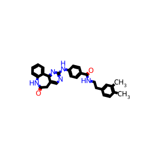 Cc1ccc(CCNC(=O)c2ccc(Nc3ncc4c(n3)-c3ccccc3NC(=O)C4)cc2)cc1C